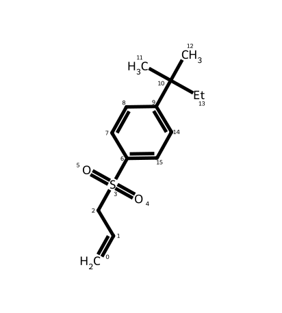 C=CCS(=O)(=O)c1ccc(C(C)(C)CC)cc1